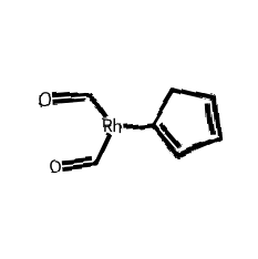 O=[CH][Rh]([CH]=O)[C]1=CC=CC1